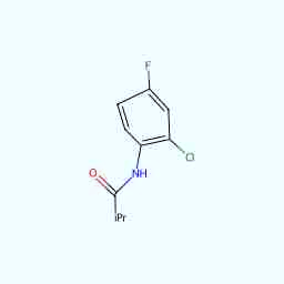 CC(C)C(=O)Nc1ccc(F)cc1Cl